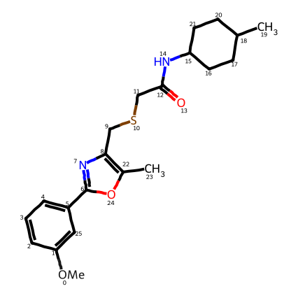 COc1cccc(-c2nc(CSCC(=O)NC3CCC(C)CC3)c(C)o2)c1